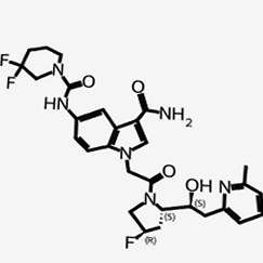 Cc1cccc(C[C@H](O)[C@@H]2C[C@@H](F)CN2C(=O)Cn2cc(C(N)=O)c3cc(NC(=O)N4CCCC(F)(F)C4)ccc32)n1